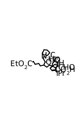 CCOC(=O)CCCCC1CC(C23C[C@@H]4[C@H](C)CC[C@H]4C4(C=O)CC2C=C(C(C)C)C34C(=O)O)OC1CN1CCCCC1